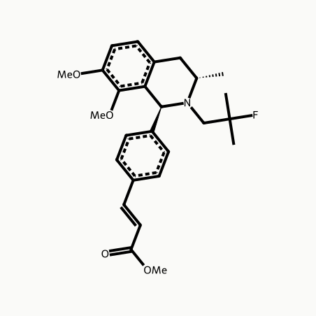 COC(=O)/C=C/c1ccc([C@H]2c3c(ccc(OC)c3OC)C[C@H](C)N2CC(C)(C)F)cc1